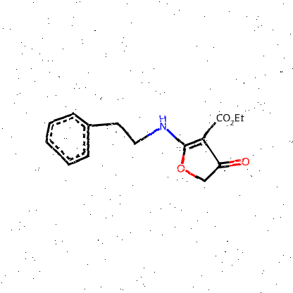 CCOC(=O)C1=C(NCCc2ccccc2)OCC1=O